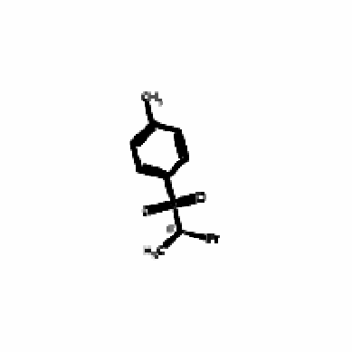 Cc1ccc(S(=O)(=O)[C@H](C)C(C)C)cc1